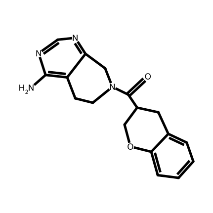 Nc1ncnc2c1CCN(C(=O)C1COc3ccccc3C1)C2